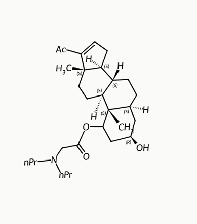 CCCN(CCC)CC(=O)OC1C[C@H](O)C[C@@H]2CC[C@@H]3[C@H](CC[C@]4(C)C(C(C)=O)=CC[C@@H]34)[C@@]12C